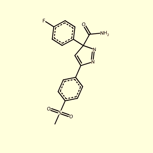 CS(=O)(=O)c1ccc(C2=CC(C(N)=O)(c3ccc(F)cc3)N=N2)cc1